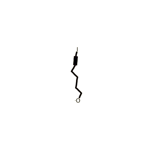 [O]CCCCC#CI